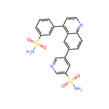 NS(=O)(=O)c1cncc(-c2ccc3nccc(-c4cccc(S(N)(=O)=O)c4)c3c2)c1